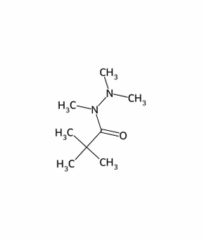 CN(C)N(C)C(=O)C(C)(C)C